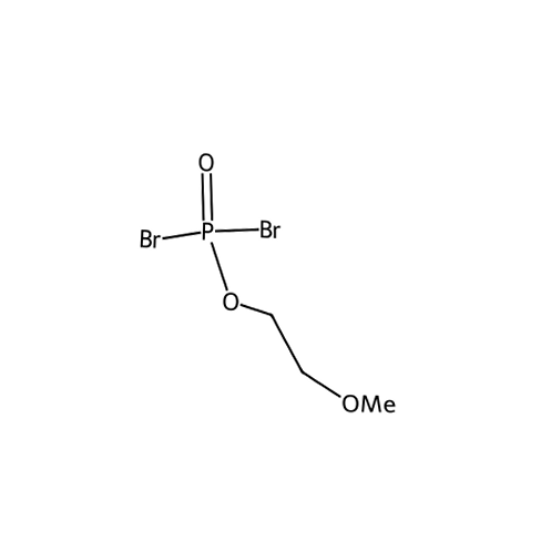 COCCOP(=O)(Br)Br